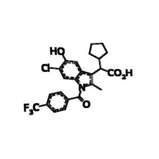 Cc1c(C(C(=O)O)C2CCCC2)c2cc(O)c(Cl)cc2n1C(=O)c1ccc(C(F)(F)F)cc1